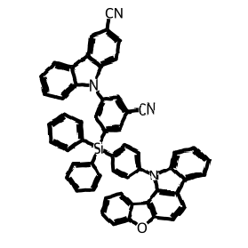 N#Cc1cc(-n2c3ccccc3c3cc(C#N)ccc32)cc([Si](c2ccccc2)(c2ccccc2)c2ccc(-n3c4ccccc4c4ccc5oc6ccccc6c5c43)cc2)c1